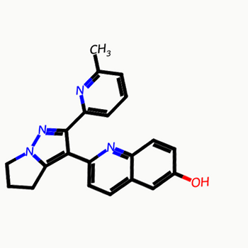 Cc1cccc(-c2nn3c(c2-c2ccc4cc(O)ccc4n2)CCC3)n1